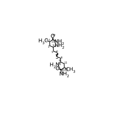 CC(CC(N)CSSCC(N)CC(C)C(N)=O)C(N)=O